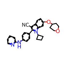 N#Cc1c(-c2ccc(Nc3ccccn3)cc2)n(C2CCC2)c2cc(OC3CCOCC3)ccc12